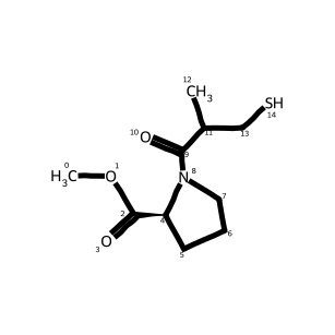 COC(=O)[C@@H]1CCCN1C(=O)C(C)CS